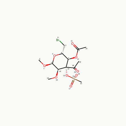 CO[C@H]1O[C@H](CBr)[C@@H](OC(C)=O)[C@@](OS(C)(=O)=O)(C(C)=O)[C@H]1OC